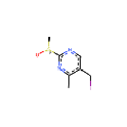 Cc1nc([S@+](C)[O-])ncc1CI